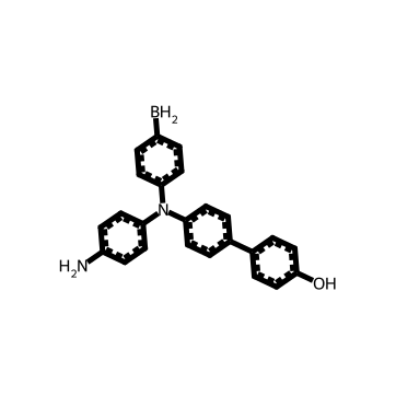 Bc1ccc(N(c2ccc(N)cc2)c2ccc(-c3ccc(O)cc3)cc2)cc1